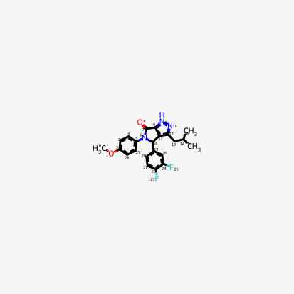 COc1ccc(N2C(=O)c3[nH]nc(CC(C)C)c3C2c2ccc(F)c(F)c2)cc1